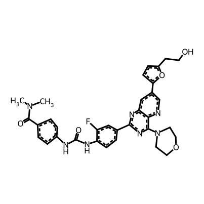 CN(C)C(=O)c1ccc(NC(=O)Nc2ccc(-c3nc(N4CCOCC4)c4ncc(-c5ccc(CCO)o5)cc4n3)cc2F)cc1